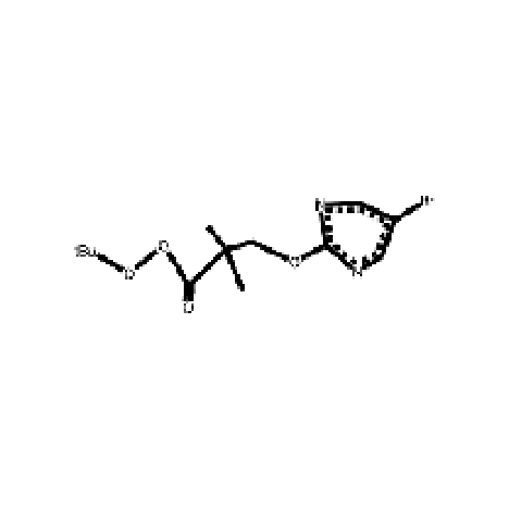 CC(C)(C)OOC(=O)C(C)(C)COc1ncc(Br)cn1